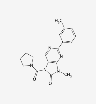 Cc1cccc(-c2ncc3c(n2)n(C)c(=O)n3C(=O)N2CCCC2)c1